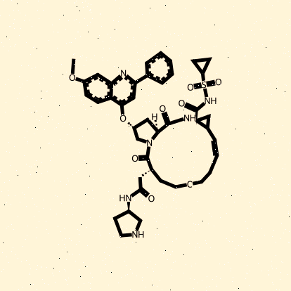 COc1ccc2c(O[C@@H]3C[C@H]4C(=O)N[C@]5(C(=O)NS(=O)(=O)C6CC6)CC5C=CCCCCC[C@H](CC(=O)N[C@@H]5CCNC5)C(=O)N4C3)cc(-c3ccccc3)nc2c1